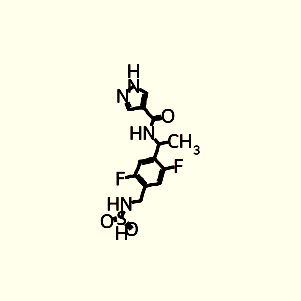 CC(NC(=O)c1cn[nH]c1)c1cc(F)c(CN[SH](=O)=O)cc1F